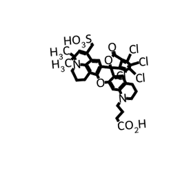 CC1(C)C=C(CS(=O)(=O)O)c2cc3c(c4c2N1CCC4)Oc1cc2c(cc1C31OC(=O)c3c(Cl)c(Cl)c(Cl)c(Cl)c31)CCCN2CCCC(=O)O